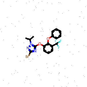 CC(C)n1nc(Br)nc1Oc1cccc(C(F)(F)F)c1Oc1ccccc1